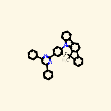 CC1(C)c2ccccc2-c2ccc3c4ccccc4n(-c4ccc(-c5nc(-c6ccccc6)cc(-c6ccccc6)n5)cc4)c3c21